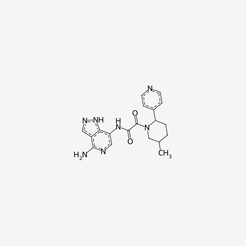 CC1CCC(c2ccncc2)N(C(=O)C(=O)Nc2cnc(N)c3cn[nH]c23)C1